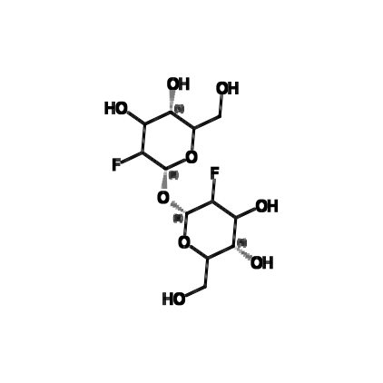 OCC1O[C@H](O[C@H]2OC(CO)[C@@H](O)C(O)C2F)C(F)C(O)[C@@H]1O